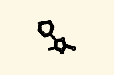 Cc1oc(=O)oc1-c1cc[c]cc1